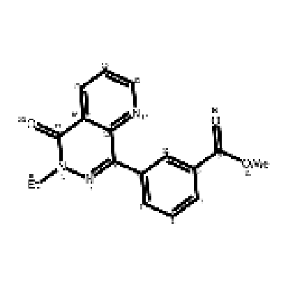 CCn1nc(-c2cccc(C(=O)OC)c2)c2ncccc2c1=O